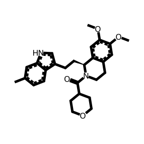 COc1cc2c(cc1OC)[C@H](CCc1c[nH]c3cc(C)ccc13)N(C(=O)C1CCOCC1)CC2